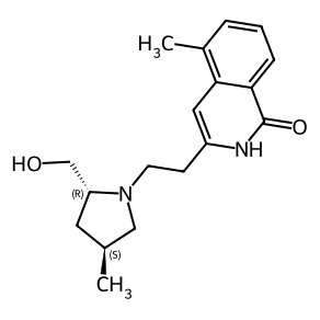 Cc1cccc2c(=O)[nH]c(CCN3C[C@@H](C)C[C@@H]3CO)cc12